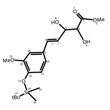 COC(=O)C(O)C(O)/C=C/c1ccc(O[Si](C)(C)C(C)(C)C)c(OC)c1